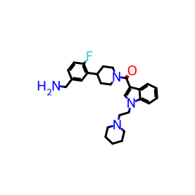 NCc1ccc(F)c(C2CCN(C(=O)c3cn(CCN4CCCCC4)c4ccccc34)CC2)c1